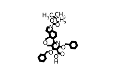 CC(C)(C)OC(=O)n1ccc2c3c(ccc21)-c1nc(OCc2ccccc2)c(C(=O)O)c(OCc2ccccc2)c1COC3